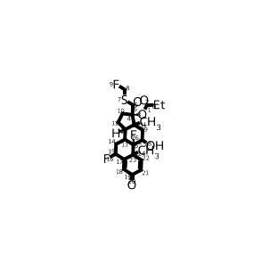 CCC(=O)O[C@]1(C(=O)SCF)CC[C@H]2C3CC(F)C4=CC(=O)C=CC4(C)[C@@]3(F)C(O)CC21C